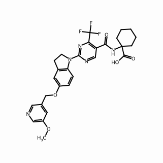 COc1cncc(COc2ccc3c(c2)CCN3c2ncc(C(=O)NC3(C(=O)O)CCCCC3)c(C(F)(F)F)n2)c1